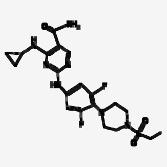 CCS(=O)(=O)N1CCN(c2c(F)cc(Nc3ncc(C(N)=O)c(NC4CC4)n3)cc2F)CC1